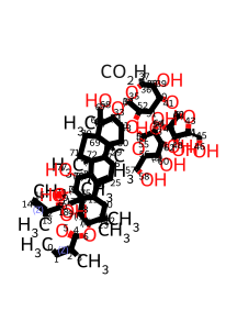 C/C=C(/C)C(=O)O[C@H]1[C@H](OC(=O)/C(C)=C\C)C2(CO)C(CC1(C)C)C1=CCC3[C@@]4(C)CC[C@H](O[C@@H]5OC(C(=O)O)[C@@H](O)C(O[C@@H]6O[C@@H](CO)C(O)C6O)CC5O[C@@H]5OC(CO)[C@@H](O)C(O)C5O)[C@](C)(CO)C4CC[C@@]3(C)[C@]1(C)[C@@H](O)[C@H]2O